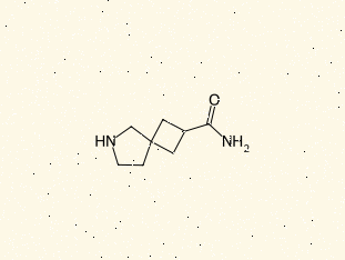 NC(=O)C1CC2(CCNC2)C1